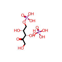 O=C(CO)[C@@H](O)[C@H](O)COP(=O)(O)O.O=P(O)(O)O